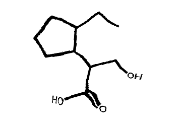 CCC1CCCC1C(CO)C(=O)O